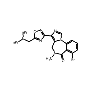 CCCN(CCC)Cc1nc(-c2ncn3c2CN(C)C(=O)c2c(Br)cccc2-3)no1